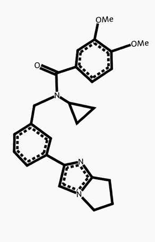 COc1ccc(C(=O)N(Cc2cccc(-c3cn4c(n3)CCC4)c2)C2CC2)cc1OC